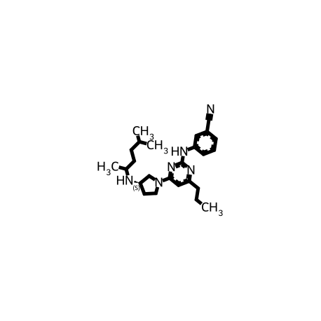 CCCc1cc(N2CC[C@H](NC(C)CCC(C)C)C2)nc(Nc2cccc(C#N)c2)n1